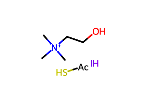 CC(=O)S.C[N+](C)(C)CCO.I